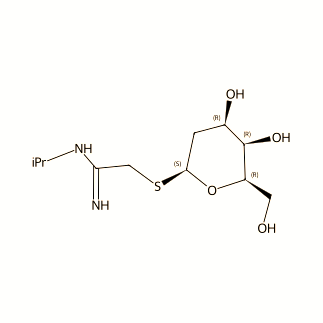 CC(C)NC(=N)CS[C@H]1C[C@@H](O)[C@@H](O)[C@@H](CO)O1